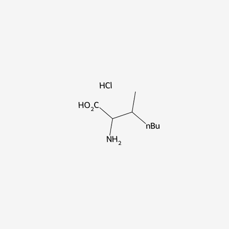 CCCCC(C)C(N)C(=O)O.Cl